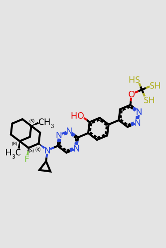 C[C@]12CCC[C@](C)(C1)[C@H](F)[C@H](N(c1cnc(-c3ccc(-c4cnnc(OC(S)(S)S)c4)cc3O)nn1)C1CC1)C2